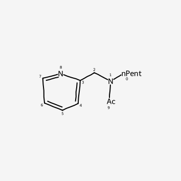 CCCCCN(Cc1ccccn1)C(C)=O